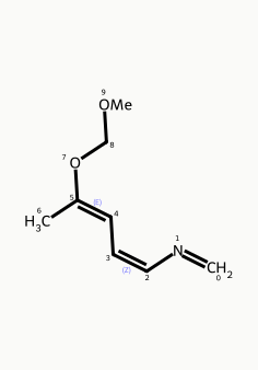 C=N/C=C\C=C(/C)OCOC